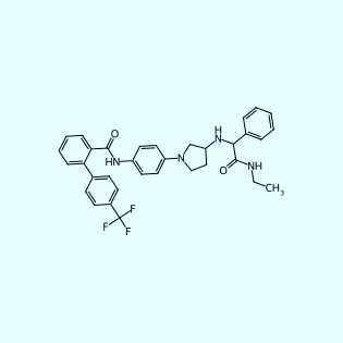 CCNC(=O)C(NC1CCN(c2ccc(NC(=O)c3ccccc3-c3ccc(C(F)(F)F)cc3)cc2)C1)c1ccccc1